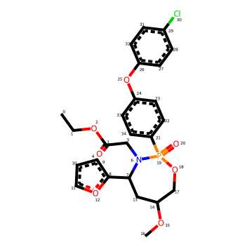 CCOC(=O)CN1C(c2ccco2)CC(OC)COP1(=O)c1ccc(Oc2ccc(Cl)cc2)cc1